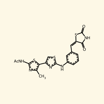 CC(=O)Nc1nc(C)c(-c2csc(Nc3cccc(C=C4SC(=O)NC4=O)c3)n2)s1